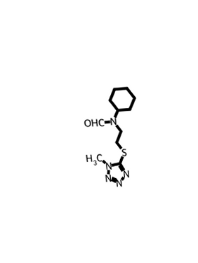 Cn1nnnc1SCCN(C=O)C1CCCCC1